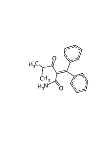 CC(C)C(=O)C(C(N)=O)=C(c1ccccc1)c1ccccc1